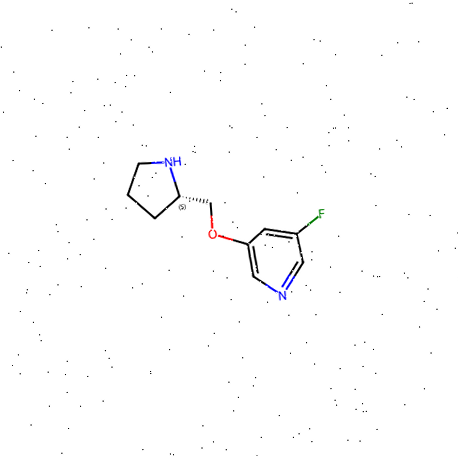 Fc1cncc(OC[C@@H]2CCCN2)c1